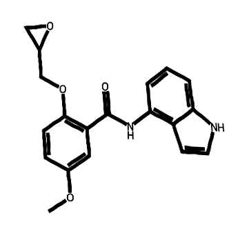 COc1ccc(OCC2CO2)c(C(=O)Nc2cccc3[nH]ccc23)c1